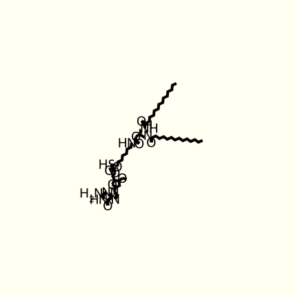 CCCCCCCCCCCCCC(=O)NCC(CNC(=O)CCCCCCCCCCCCC)OC(=O)NCCCCCCOP(=O)(S)OCC1OC(n2cnc3c(=O)[nH]c(N)nc32)CC1OC